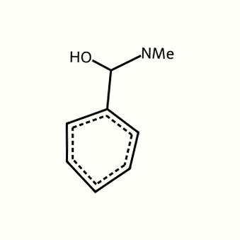 CNC(O)c1ccccc1